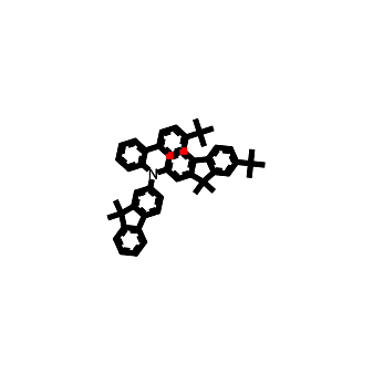 CC(C)(C)c1ccc(-c2ccccc2N(c2ccc3c(c2)C(C)(C)c2ccccc2-3)c2ccc3c(c2)C(C)(C)c2cc(C(C)(C)C)ccc2-3)cc1